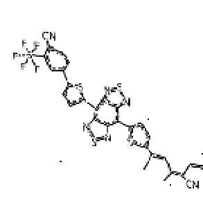 C=C/C(C#N)=C(C)\C=C(/C)c1ccc(-c2c3c(c(-c4ccc(-c5ccc(C#N)c(S(F)(F)(F)(F)F)c5)s4)c4nsnc24)N=S=N3)s1